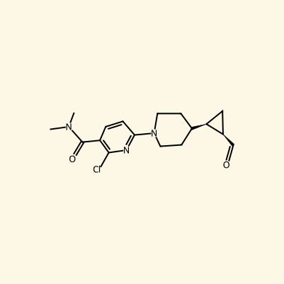 CN(C)C(=O)c1ccc(N2CCC([C@H]3C[C@H]3C=O)CC2)nc1Cl